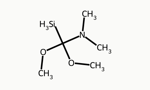 COC([SiH3])(OC)N(C)C